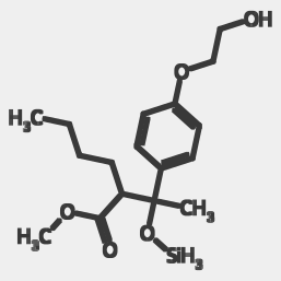 CCCCC(C(=O)OC)C(C)(O[SiH3])c1ccc(OCCO)cc1